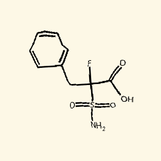 NS(=O)(=O)C(F)(Cc1ccccc1)C(=O)O